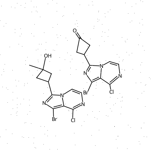 CC1(O)CC(c2nc(Br)c3c(Cl)nccn23)C1.O=C1CC(c2nc(Br)c3c(Cl)nccn23)C1